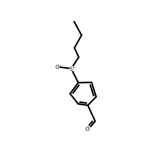 CCCC[S+]([O-])c1ccc(C=O)cc1